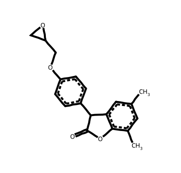 Cc1cc(C)c2c(c1)C(c1ccc(OCC3CO3)cc1)C(=O)O2